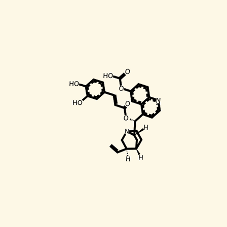 C=C[C@H]1CN2CC[C@H]1C[C@H]2[C@H](OC(=O)C=Cc1ccc(O)c(O)c1)c1ccnc2ccc(OC(=O)O)cc12